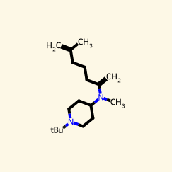 C=C(C)CCCC(=C)N(C)C1CCN(C(C)(C)C)CC1